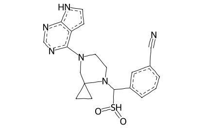 N#Cc1cccc(C(N2CCN(c3ncnc4[nH]ccc34)CC23CC3)[SH](=O)=O)c1